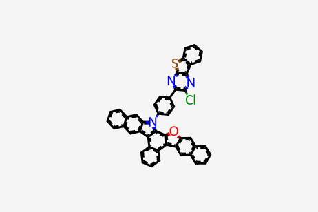 Clc1nc2c(nc1-c1ccc(-n3c4cc5ccccc5cc4c4c5ccccc5c5c6cc7ccccc7cc6oc5c43)cc1)sc1ccccc12